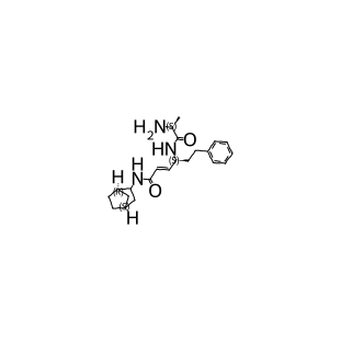 C[C@H](N)C(=O)N[C@H](C=CC(=O)NC1C[C@H]2CC[C@@H]1C2)CCc1ccccc1